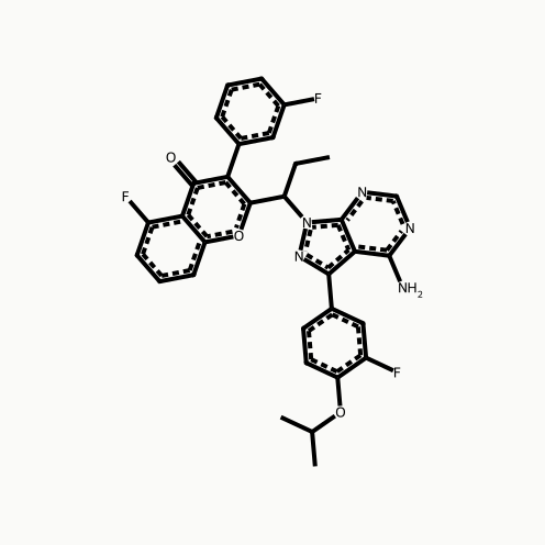 CCC(c1oc2cccc(F)c2c(=O)c1-c1cccc(F)c1)n1nc(-c2ccc(OC(C)C)c(F)c2)c2c(N)ncnc21